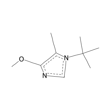 COc1ncn(C(C)(C)C)c1C